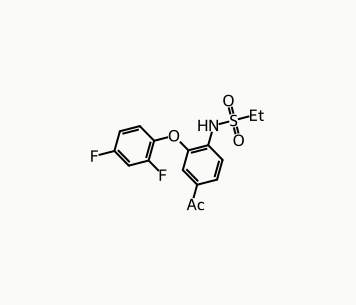 CCS(=O)(=O)Nc1ccc(C(C)=O)cc1Oc1ccc(F)cc1F